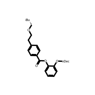 CCCCCCCCCCOc1ccccc1OC(=O)c1ccc(CCOC[C@@H](C)CC)cc1